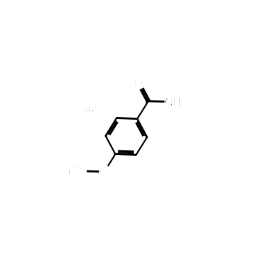 CCCOc1ccc(C(N)=O)cc1.Cl